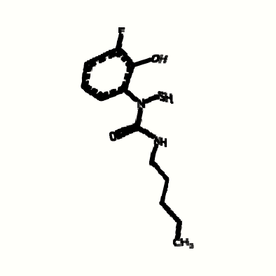 CCCCCNC(=O)N(S)c1cccc(F)c1O